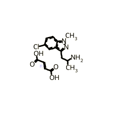 CC(N)Cc1nn(C)c2ccc(Cl)cc12.O=C(O)/C=C/C(=O)O